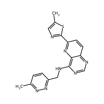 Cc1ccc(CNc2ncnc3ccc(-c4ncc(C)s4)nc23)nn1